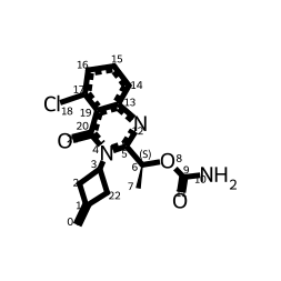 C=C1CC(n2c([C@H](C)OC(N)=O)nc3cccc(Cl)c3c2=O)C1